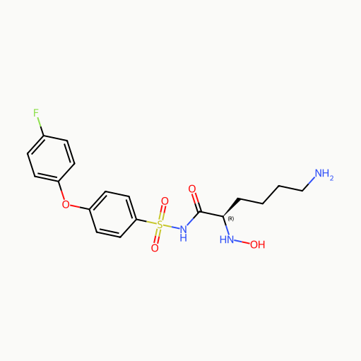 NCCCC[C@@H](NO)C(=O)NS(=O)(=O)c1ccc(Oc2ccc(F)cc2)cc1